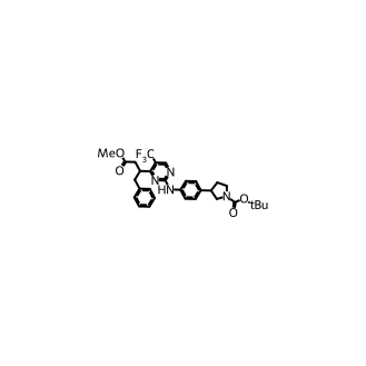 COC(=O)CC(Cc1ccccc1)c1nc(Nc2ccc(C3CCN(C(=O)OC(C)(C)C)C3)cc2)ncc1C(F)(F)F